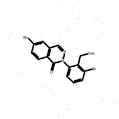 CC(=O)OCc1c(Br)cccc1-n1ncc2cc(C(C)(C)C)ccc2c1=O